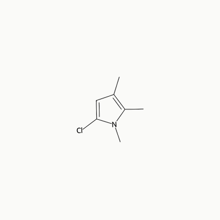 Cc1cc(Cl)n(C)c1C